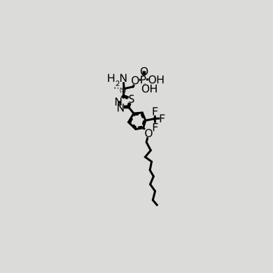 CCCCCCCCCCOc1ccc(-c2nnc([C@@](C)(N)COP(=O)(O)O)s2)cc1C(F)(F)F